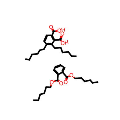 CCCCCCOC(=O)c1ccccc1C(=O)OCCCCCC.CCCCCCc1ccc(C(=O)O)c(C(=O)O)c1CCCCCC